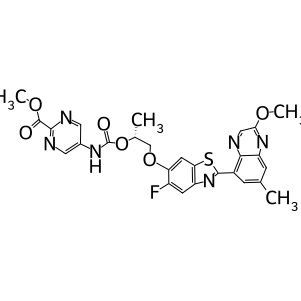 COC(=O)c1ncc(NC(=O)O[C@H](C)COc2cc3sc(-c4cc(C)cc5nc(OC)cnc45)nc3cc2F)cn1